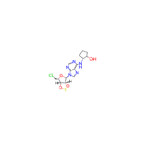 OC1CCCC1Nc1ncnc2c1ncn2[C@@H]1O[C@H](CCl)[C@H]2OSO[C@H]21